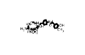 Cc1ccc(CC(=O)Nc2ccc(CNC34CNCCNCC(N)(CNCCNC3)CNCCNC4)cc2)cc1O